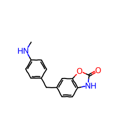 CNc1ccc(Cc2ccc3[nH]c(=O)oc3c2)cc1